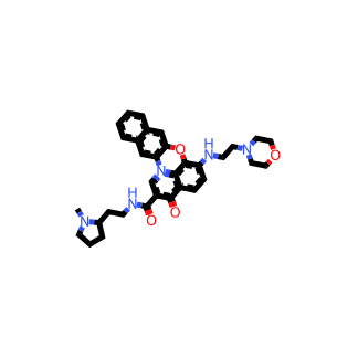 CN1CCCC1CCNC(=O)c1cn2c3c(c(NCCN4CCOCC4)ccc3c1=O)Oc1cc3ccccc3cc1-2